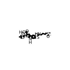 C[S+]([O-])CCCCNC(=S)Oc1ccc2[nH]cc(CC(NC(=O)OC(C)(C)C)C(=O)O)c2c1